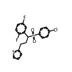 O=S(=O)(c1ccc(Cl)cc1)C(CCc1cccs1)c1cc(F)ccc1F